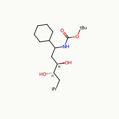 CC(C)C[C@H](O)[C@H](O)CC(NC(=O)OC(C)(C)C)C1CCCCC1